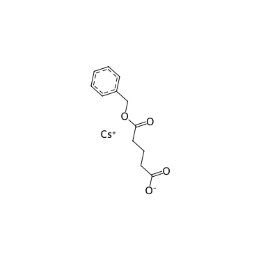 O=C([O-])CCCC(=O)OCc1ccccc1.[Cs+]